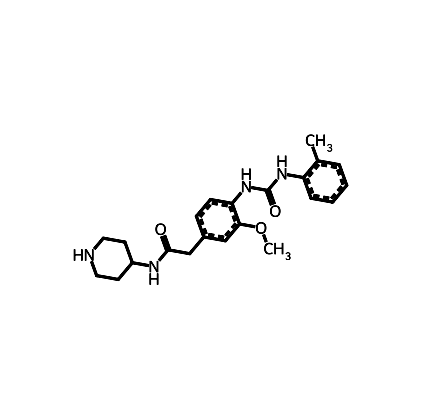 COc1cc(CC(=O)NC2CCNCC2)ccc1NC(=O)Nc1ccccc1C